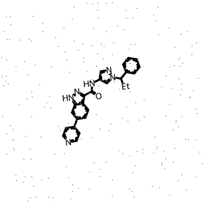 CCC(c1ccccc1)n1cc(NC(=O)c2n[nH]c3cc(-c4ccncc4)ccc23)cn1